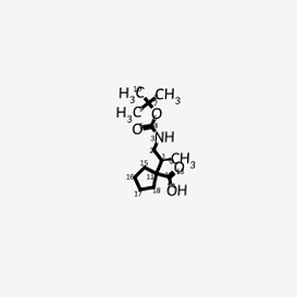 C[C@H](CNC(=O)OC(C)(C)C)C1(C(=O)O)CCCC1